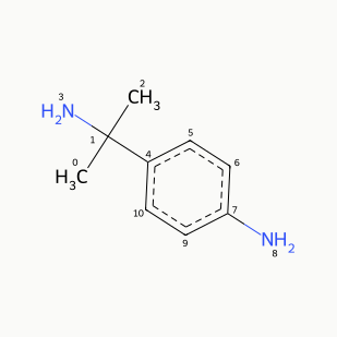 CC(C)(N)c1ccc(N)cc1